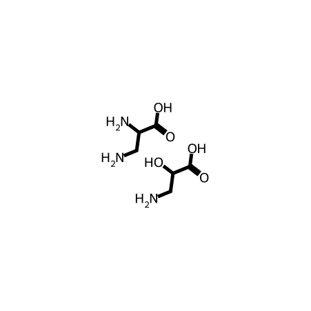 NCC(N)C(=O)O.NCC(O)C(=O)O